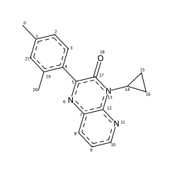 Cc1ccc(-c2nc3cccnc3n(C3CC3)c2=O)c(C)c1